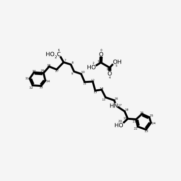 O=C(O)C(=O)O.O=C(O)C(CCCCCCCCCNCC(O)c1ccccc1)CCc1ccccc1